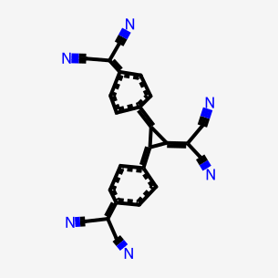 N#CC(C#N)=C1C(=c2ccc(=C(C#N)C#N)cc2)C1=c1ccc(=C(C#N)C#N)cc1